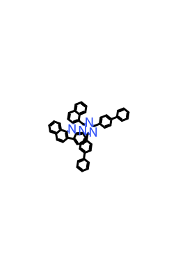 c1ccc(-c2ccc(-c3nc(-c4ccc(-c5ccccc5)cc4)nc(-c4c(-n5c6ccccc6c6ccc7ccccc7c65)ccc5ccccc45)n3)cc2)cc1